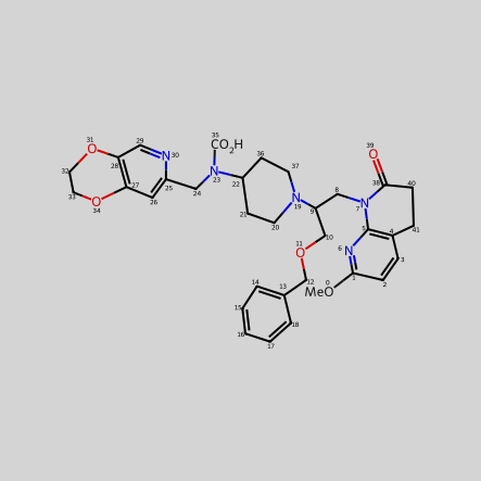 COc1ccc2c(n1)N(CC(COCc1ccccc1)N1CCC(N(Cc3cc4c(cn3)OCCO4)C(=O)O)CC1)C(=O)CC2